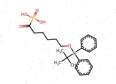 CC(C)(C)[Si](OCCCCCC(=O)P(=O)(O)O)(c1ccccc1)c1ccccc1